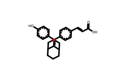 O=C(O)C=Cc1ccc(C(=C2C3CCCC2CCC3)c2ccc(O)cc2)cc1